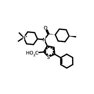 C[N+]1(C)CCC(N(c2cc(C3=CCCCC3)sc2C(=O)O)C(=O)[C@H]2CC[C@H](C)CC2)CC1